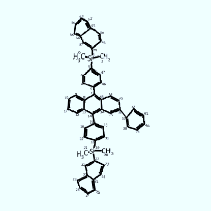 C[Si](C)(c1ccc(-c2c3ccccc3c(-c3ccc([Si](C)(C)c4ccc5ccccc5c4)cc3)c3cc(-c4ccccc4)ccc23)cc1)c1ccc2ccccc2c1